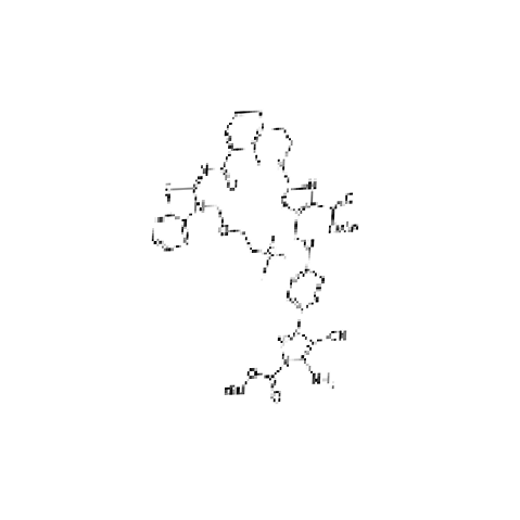 COC(=O)c1nc(N2CCc3cccc(C(=O)N=c4sc5ccccc5n4COCC[Si](C)(C)C)c3C2)sc1COc1ccc(-c2nn(C(=O)OC(C)(C)C)c(N)c2C#N)cc1